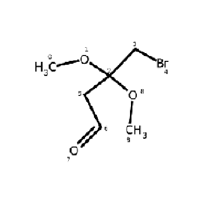 COC(CBr)(CC=O)OC